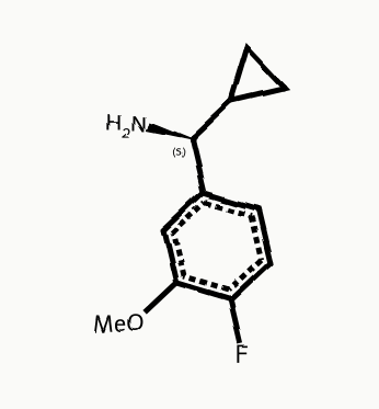 COc1cc([C@@H](N)C2CC2)ccc1F